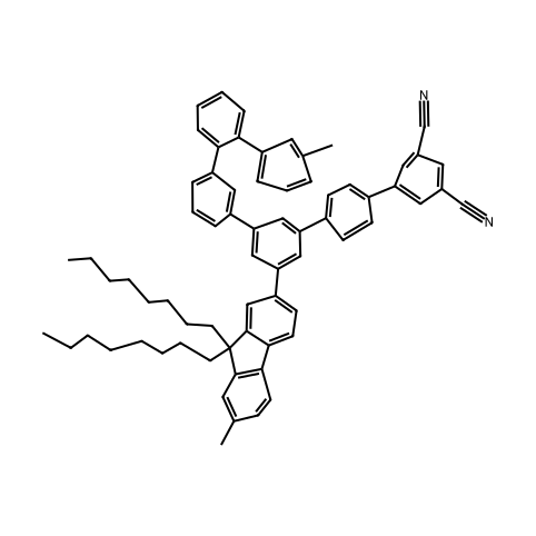 CCCCCCCCC1(CCCCCCCC)c2cc(C)ccc2-c2ccc(-c3cc(-c4ccc(-c5cc(C#N)cc(C#N)c5)cc4)cc(-c4cccc(-c5ccccc5-c5cccc(C)c5)c4)c3)cc21